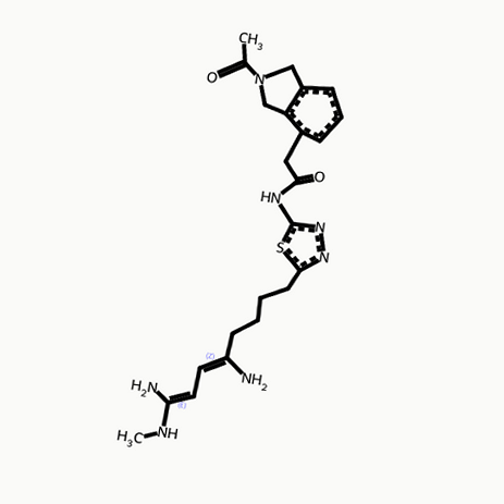 CN/C(N)=C/C=C(\N)CCCCc1nnc(NC(=O)Cc2cccc3c2CN(C(C)=O)C3)s1